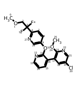 COCC(F)(F)c1ccc(Oc2ncccc2-c2cc(Cl)cnc2OC)cn1